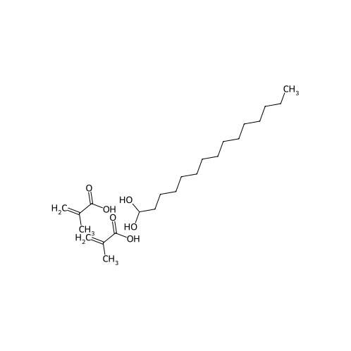 C=C(C)C(=O)O.C=C(C)C(=O)O.CCCCCCCCCCCCCCC(O)O